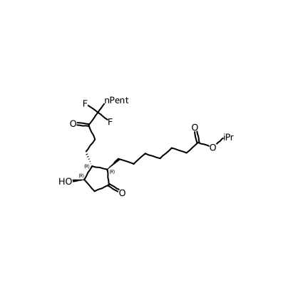 CCCCCC(F)(F)C(=O)CC[C@H]1[C@H](O)CC(=O)[C@@H]1CCCCCCC(=O)OC(C)C